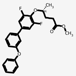 COC(=O)CC[C@@H](C)Oc1c(F)cc(-c2cccc(Oc3ccccc3)c2)cc1F